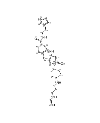 N=CNCCCNC1CCC(n2cc3c(nc2=O)Nc2cc(C(=O)NCCc4c[nH]cn4)ccc2O3)CC1